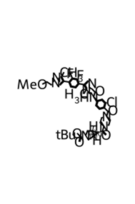 COCCn1cc(-c2ccc(-c3cnc(C(=O)Nc4ccc(C(=O)N5CCN(C(=O)[C@H]6[C@@H]7CN(C(=O)OC(C)(C)C)C[C@@H]76)CC5)c(Cl)c4)n3C)c(F)c2F)c(C)n1